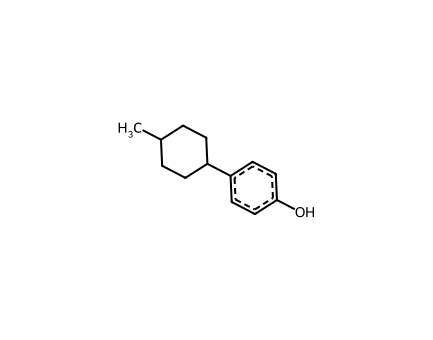 CC1CCC(c2ccc(O)cc2)CC1